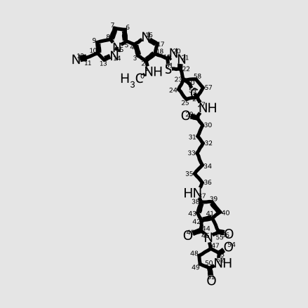 CNc1cc(-c2ccc3cc(C#N)cnn23)ncc1-c1nnc(C23CCC(NC(=O)CCCCCCCNc4ccc5c(c4)C(=O)N(C4CCC(=O)NC4=O)C5=O)(CC2)CC3)s1